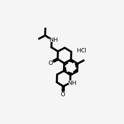 Cc1cc2c(c3c1CCC(CNC(C)C)C3=O)CCC(=O)N2.Cl